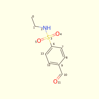 CCNS(=O)(=O)c1ccc(C=O)cc1